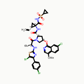 C=C[C@@H]1C[C@]1(NC(=O)[C@@H]1C[C@@H](Oc2ncc(OC)c3ccc(Cl)cc23)CN1C(=O)[C@@H](Nc1nc(-c2ccc(Br)cc2)c(Br)s1)C(C)(C)C)C(=O)NS(=O)(=O)C1CC1